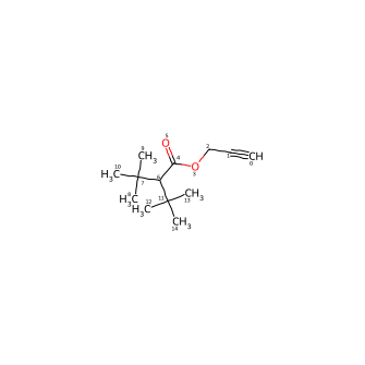 C#CCOC(=O)C(C(C)(C)C)C(C)(C)C